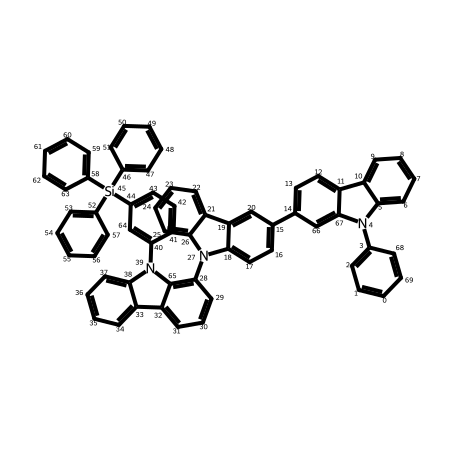 c1ccc(-n2c3ccccc3c3ccc(-c4ccc5c(c4)c4ccccc4n5-c4cccc5c6ccccc6n(-c6cccc([Si](c7ccccc7)(c7ccccc7)c7ccccc7)c6)c45)cc32)cc1